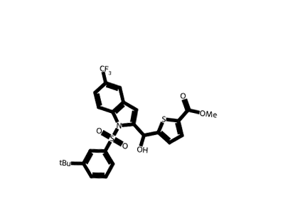 COC(=O)c1ccc(C(O)c2cc3cc(C(F)(F)F)ccc3n2S(=O)(=O)c2cccc(C(C)(C)C)c2)s1